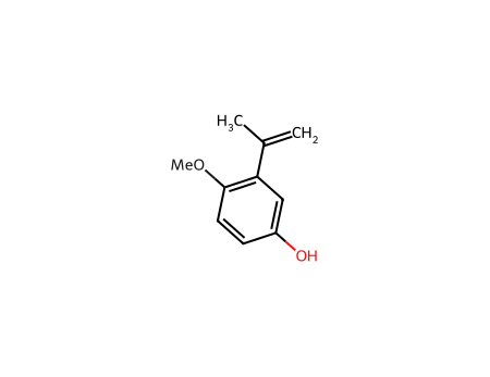 C=C(C)c1cc(O)ccc1OC